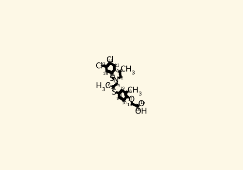 CCCN(C[C@@H](C)Sc1ccc(OCC(=O)O)c(C)c1)Sc1ccc(Cl)c(Cl)c1